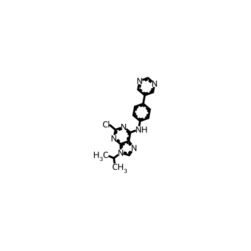 CC(C)n1cnc2c(Nc3ccc(-c4cncnc4)cc3)nc(Cl)nc21